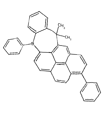 CC1(C)c2ccccc2B(c2ccccc2)c2ccc3ccc4c(-c5ccccc5)ccc5cc1c2c3c54